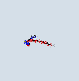 CCCOCCOCCOCCOCCOCCOOCCOC(CNC(C)(C)C)COc1nsnc1N1CCOCC1